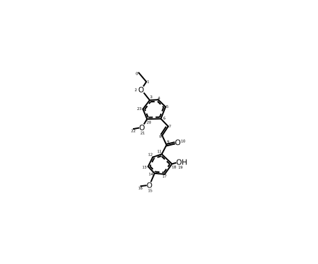 CCOc1ccc(C=CC(=O)c2ccc(OC)cc2O)c(OC)c1